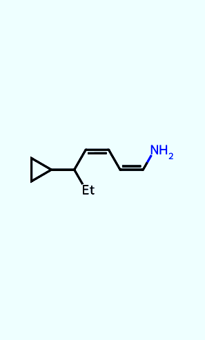 CCC(/C=C\C=C/N)C1CC1